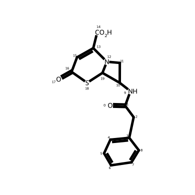 O=C(Cc1ccccc1)NC1CN2C(C(=O)O)=CC(=O)SC12